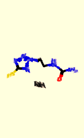 NC(=O)NCCn1nnc(S)n1.[NaH]